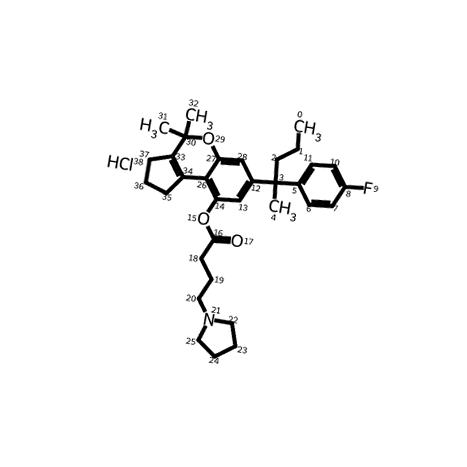 CCCC(C)(c1ccc(F)cc1)c1cc(OC(=O)CCCN2CCCC2)c2c(c1)OC(C)(C)C1=C2CCC1.Cl